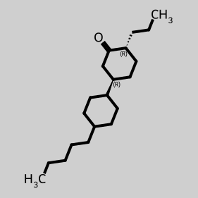 CCCCCC1CCC([C@@H]2CC[C@@H](CCC)C(=O)C2)CC1